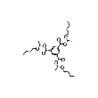 CCCCOC(C)OC(=O)c1cc(C(=O)OC(C)OCCCC)cc(C(=O)OC(C)OCCCC)c1